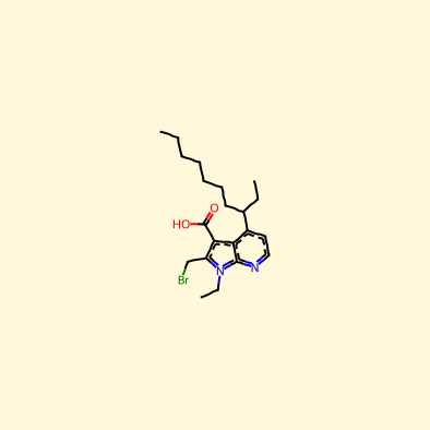 CCCCCCCC(CC)c1ccnc2c1c(C(=O)O)c(CBr)n2CC